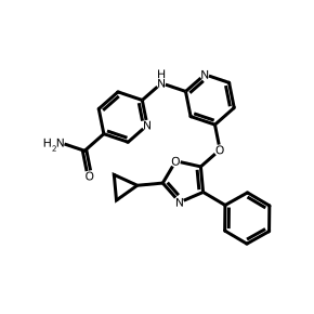 NC(=O)c1ccc(Nc2cc(Oc3oc(C4CC4)nc3-c3ccccc3)ccn2)nc1